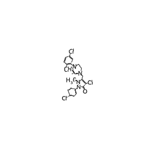 Cc1ccc(Cl)cc1N1CCN(Cc2c(Cl)c(=O)n(-c3ccc(Cl)cc3)n2C)CC1